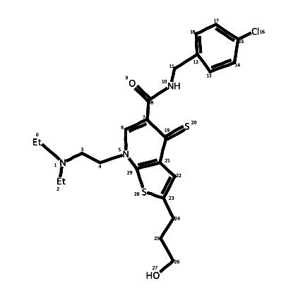 CCN(CC)CCn1cc(C(=O)NCc2ccc(Cl)cc2)c(=S)c2cc(CCCO)sc21